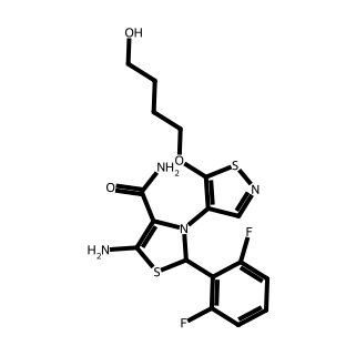 NC(=O)C1=C(N)SC(c2c(F)cccc2F)N1c1cnsc1OCCCCO